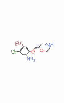 Nc1cc(Cl)c(Br)cc1O/C=C1/CNCCO1